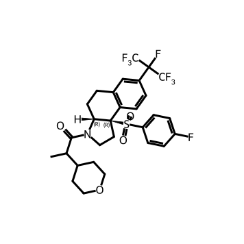 CC(C(=O)N1CC[C@@]2(S(=O)(=O)c3ccc(F)cc3)c3ccc(C(F)(C(F)(F)F)C(F)(F)F)cc3CC[C@@H]12)C1CCOCC1